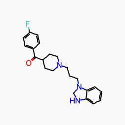 O=C(c1ccc(F)cc1)C1CCN(CCCN2CNc3ccccc32)CC1